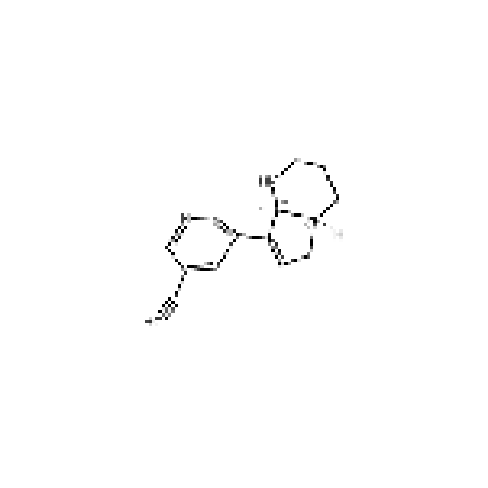 C#Cc1cncc(C2=CC[C@@H]3CCCN[C@H]23)c1